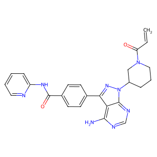 C=CC(=O)N1CCCC(n2nc(-c3ccc(C(=O)Nc4ccccn4)cc3)c3c(N)ncnc32)C1